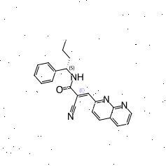 CCC[C@H](NC(=O)/C(C#N)=C/c1ccc2cccnc2n1)c1ccccc1